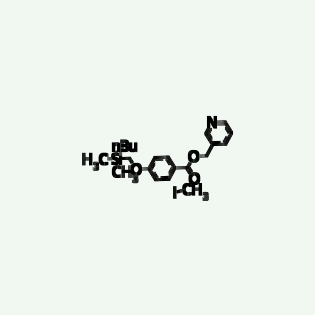 CCCC[Si](C)(C)COc1ccc(C(=O)OCc2cccnc2)cc1.CI